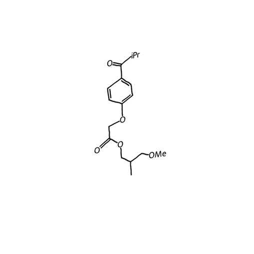 COCC(C)COC(=O)COc1ccc(C(=O)C(C)C)cc1